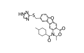 CC1CCC(C(=O)N2c3cc4c(cc3C(=O)OC2C)oc2ccc(CSc3nc[nH]n3)cc24)CC1